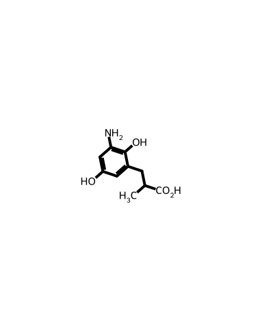 CC(Cc1cc(O)cc(N)c1O)C(=O)O